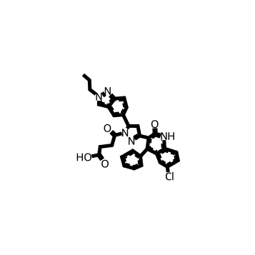 CCCn1cc2cc(C3CC(c4c(-c5ccccc5)c5cc(Cl)ccc5[nH]c4=O)=NN3C(=O)CCC(=O)O)ccc2n1